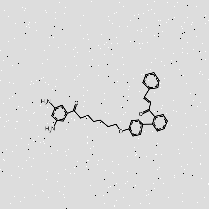 Nc1cc(N)cc(C(=O)CCCCCCOc2ccc(-c3ccccc3C(=O)C=Cc3ccccc3)cc2)c1